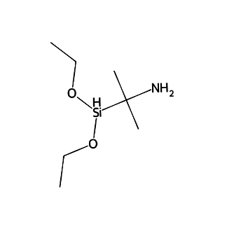 CCO[SiH](OCC)C(C)(C)N